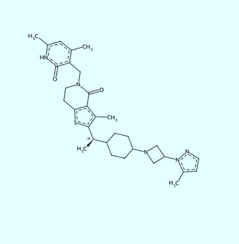 Cc1cc(C)c(CN2CCc3sc([C@H](C)C4CCC(N5CC(n6nccc6C)C5)CC4)c(C)c3C2=O)c(=O)[nH]1